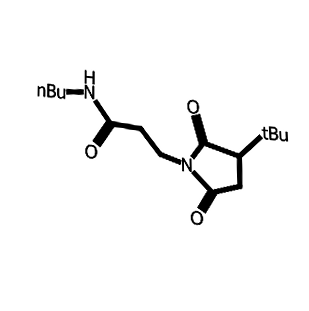 CCCCNC(=O)CCN1C(=O)CC(C(C)(C)C)C1=O